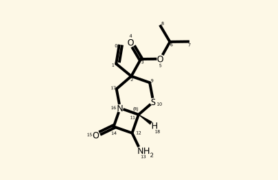 C=CC1(C(=O)OC(C)C)CS[C@@H]2C(N)C(=O)N2C1